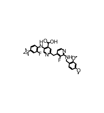 COc1ccc(CNc2nccc(Cc3cc(C(=O)O)c(Nc4ccc([Si](C)(C)C)cc4F)cn3)c2F)c(OC)c1